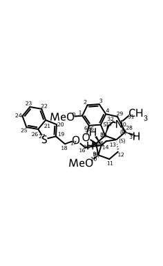 COc1ccc2c3c1O[C@H]1[C@@]4(OC)CC[C@@]5(C[C@H]4COCc4cc6ccccc6s4)[C@@H](C2)N(C)CC[C@]315